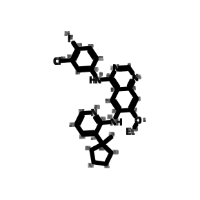 CCOc1cc2ncnc(Nc3ccc(F)c(Cl)c3)c2cc1Nc1ncccc1C1(C)CCCC1